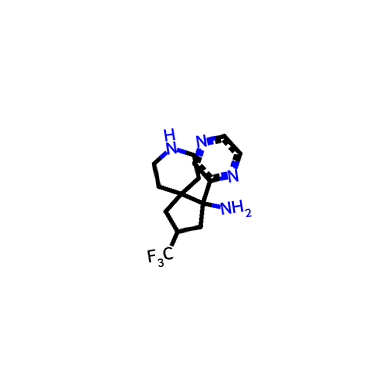 NC1(c2cnccn2)CC(C(F)(F)F)CC12CCNCC2